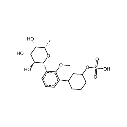 COc1c(C2CCCC(OS(=O)(=O)O)C2)cccc1[C@H]1O[C@@H](C)[C@@H](O)[C@@H](O)[C@@H]1O